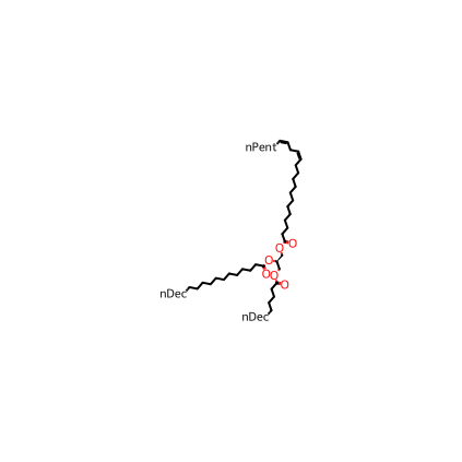 CCCCC/C=C\C/C=C\CCCCCCCCCCCC(=O)OC[C@@H](COC(=O)CCCCCCCCCCCCCC)OC(=O)CCCCCCCCCCCCCCCCCCCCC